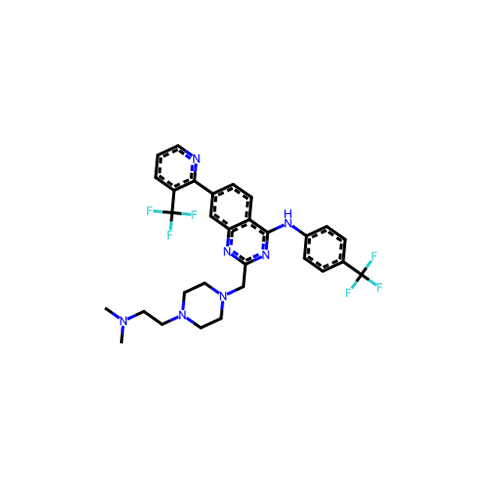 CN(C)CCN1CCN(Cc2nc(Nc3ccc(C(F)(F)F)cc3)c3ccc(-c4ncccc4C(F)(F)F)cc3n2)CC1